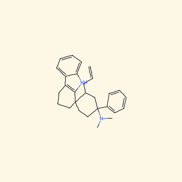 C=CCC1CC(c2ccccc2)(N(C)C)CCC12CCCc1c2[nH]c2ccccc12